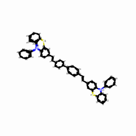 C(=Cc1ccc2c(c1)Sc1ccccc1N2c1ccccc1)c1ccc(-c2ccc(C=Cc3ccc4c(c3)Sc3ccccc3N4c3ccccc3)cc2)cc1